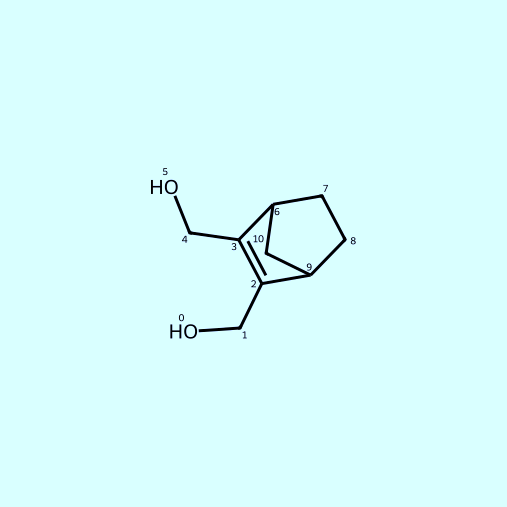 OCC1=C(CO)C2CCC1C2